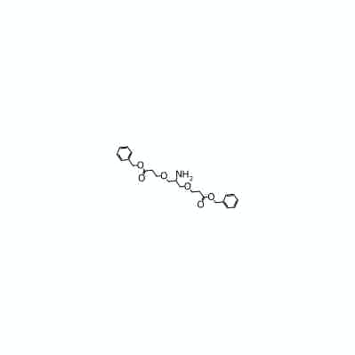 NC(COCCC(=O)OCc1ccccc1)COCCC(=O)OCc1ccccc1